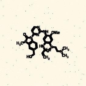 C=CC(=O)Nc1cc(Nc2nccc(-n3c(=O)n(C)c4cc(CO)ccc43)n2)c(OC)cc1N(C)CCN(C)C